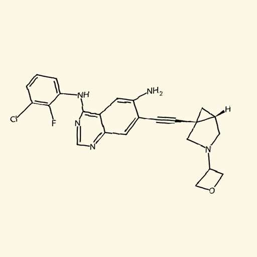 Nc1cc2c(Nc3cccc(Cl)c3F)ncnc2cc1C#C[C@@]12C[C@@H]1CN(C1COC1)C2